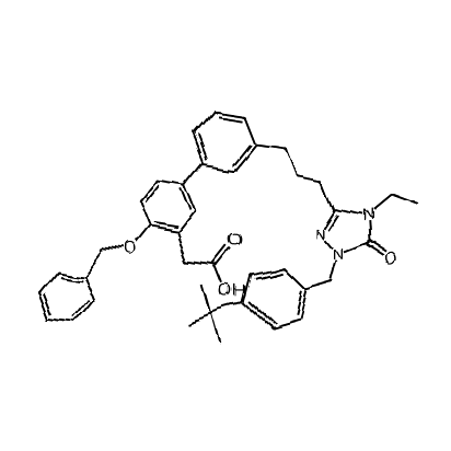 CCn1c(CCCc2cccc(-c3ccc(OCc4ccccc4)c(CC(=O)O)c3)c2)nn(Cc2ccc(C(C)(C)C)cc2)c1=O